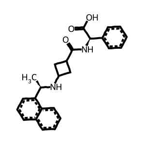 C[C@@H](NC1CC(C(=O)N[C@@H](C(=O)O)c2ccccc2)C1)c1cccc2ccccc12